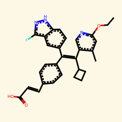 CCOc1cc(C)c(C(=C(c2ccc(C=CC(=O)O)cc2)c2ccc3[nH]nc(F)c3c2)C2CCC2)cn1